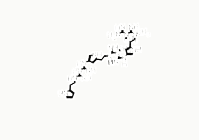 CN(CCc1cc(NC(=N)N(C)C(=N)NCCc2cc(NC(=N)NC(=N)NCCc3ccc[nH]3)c[nH]2)c[nH]1)C(=N)N(C)C(=N)N